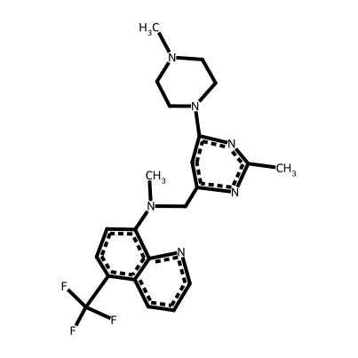 Cc1nc(CN(C)c2ccc(C(F)(F)F)c3cccnc23)cc(N2CCN(C)CC2)n1